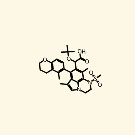 Cc1c(-c2c(C(OC(C)(C)C)C(=O)O)c(C)c3c4c2c(C)cn4CCN3S(C)(=O)=O)ccc2c1CCCO2